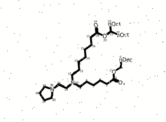 CCCCCCCCCCCOC(=O)CCCCCN(CCCCCCCC(=O)OC(CCCCCCCC)CCCCCCCC)CCN1CCCC1